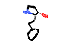 O[C@H]1CCN[C@H]1CCc1ccccc1